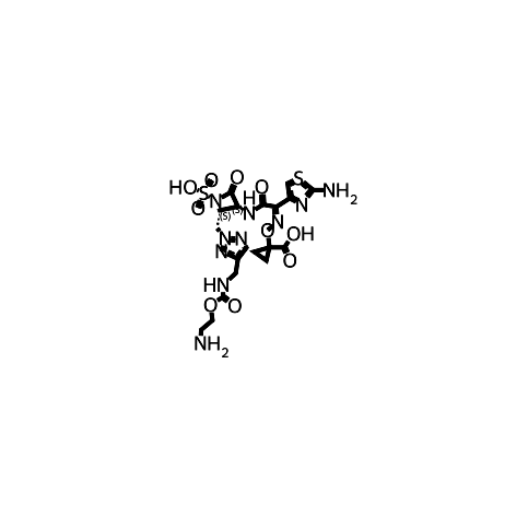 NCCOC(=O)NCc1cnn(C[C@H]2[C@H](NC(=O)C(=NOC3(C(=O)O)CC3)c3csc(N)n3)C(=O)N2S(=O)(=O)O)n1